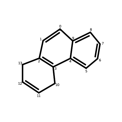 [c]1cc2c(c3ccccc13)CC=CC2